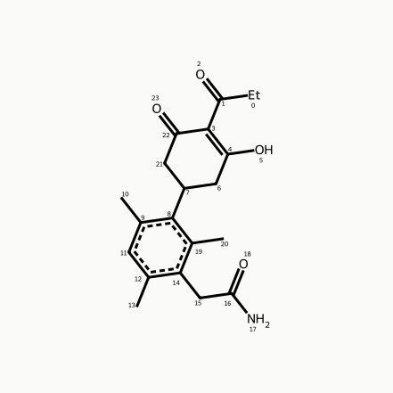 CCC(=O)C1=C(O)CC(c2c(C)cc(C)c(CC(N)=O)c2C)CC1=O